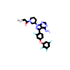 C=CC(=O)N1CCCC(n2nc(-c3ccc(Oc4cc(F)cc(F)c4F)cc3F)c3c(N)ncnc32)C1